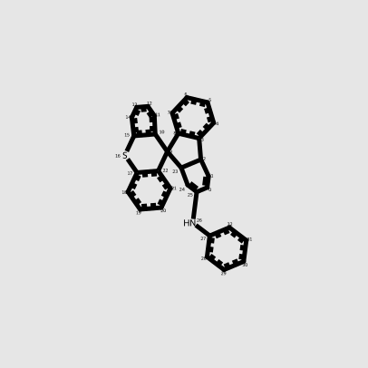 C1=CC2c3ccccc3C3(c4ccccc4Sc4ccccc43)C2C=C1Nc1ccccc1